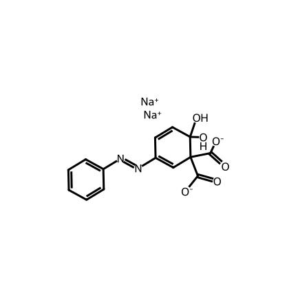 O=C([O-])C1(C(=O)[O-])C=C(N=Nc2ccccc2)C=CC1(O)O.[Na+].[Na+]